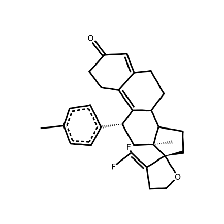 Cc1ccc([C@H]2C[C@@]3(C)C(CC[C@]34OCCC4=C(F)F)C3CCC4=CC(=O)CCC4=C32)cc1